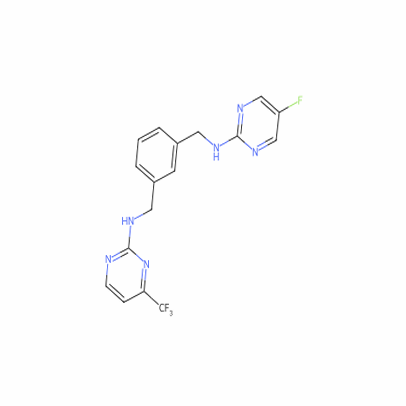 Fc1cnc(NCc2cccc(CNc3nccc(C(F)(F)F)n3)c2)nc1